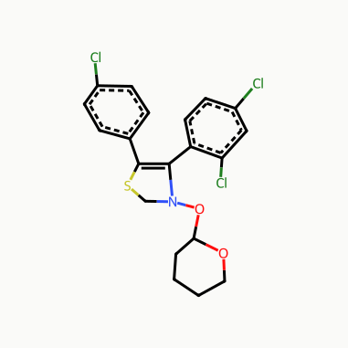 Clc1ccc(C2=C(c3ccc(Cl)cc3Cl)N(OC3CCCCO3)CS2)cc1